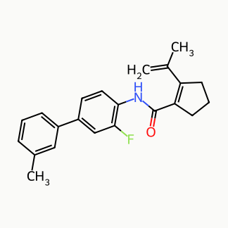 C=C(C)C1=C(C(=O)Nc2ccc(-c3cccc(C)c3)cc2F)CCC1